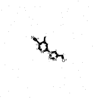 Cc1cc(-n2cc(C=O)nn2)ncc1C#N